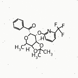 C[C@H]1O[C@H](C(=O)c2ccccc2)[C@H](Oc2cccc(C(F)(F)F)n2)[C@H]2OC(C)(C)O[C@H]21